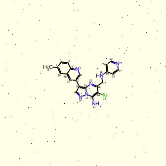 Cc1ccc2ncc(-c3cnn4c(N)c(Br)c(CNc5ccncc5)nc34)cc2c1